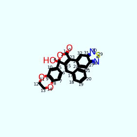 O=C1OC(O)(c2ccc3c(c2)OCCO3)C(Cc2ccccc2)=C1c1ccc2nsnc2c1